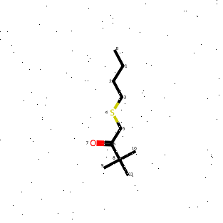 CCCCSCC(=O)C(C)(C)C